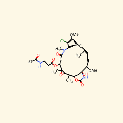 CCC(=O)NCCC(=O)OC1CC(=O)N(C)c2cc(cc(OC)c2Cl)C/C(C)=C/C=C/C(OC)C2(O)CC(OC(=O)N2)C(C)C2OC12C